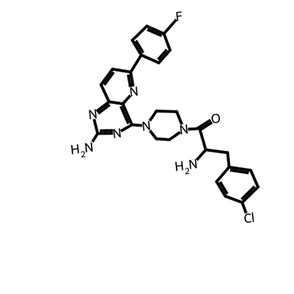 Nc1nc(N2CCN(C(=O)C(N)Cc3ccc(Cl)cc3)CC2)c2nc(-c3ccc(F)cc3)ccc2n1